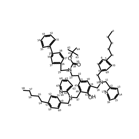 CCCCCc1ccc(CN(Cc2ccccn2)Cc2cc(CCN(Cc3ccc(-c4ccccc4)cc3)C(=O)OC(C)(C)C)cc(CN(Cc3ccc(CCCCC)cc3)c3ccccn3)c2O)cc1